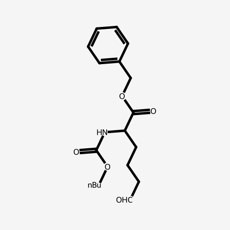 CCCCOC(=O)NC(CCCC=O)C(=O)OCc1ccccc1